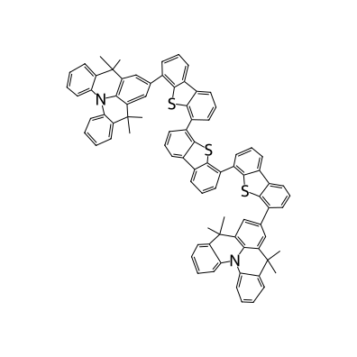 CC1(C)c2ccccc2N2c3ccccc3C(C)(C)c3cc(-c4cccc5c4sc4c(-c6cccc7c6sc6c(-c8cccc9c8sc8c(-c%10cc%11c%12c(c%10)C(C)(C)c%10ccccc%10N%12c%10ccccc%10C%11(C)C)cccc89)cccc67)cccc45)cc1c32